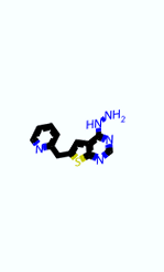 NNc1ncnc2sc(Cc3ccccn3)cc12